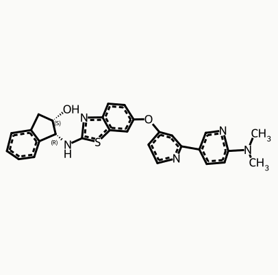 CN(C)c1ccc(-c2cc(Oc3ccc4nc(N[C@@H]5c6ccccc6C[C@@H]5O)sc4c3)ccn2)cn1